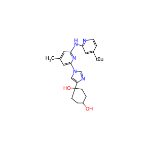 Cc1cc(Nc2cc(C(C)(C)C)ccn2)nc(-n2cnc(C3(O)CCC(O)CC3)c2)c1